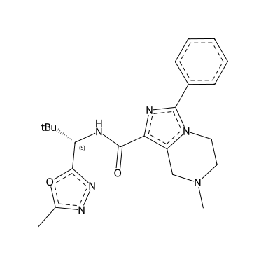 Cc1nnc([C@@H](NC(=O)c2nc(-c3ccccc3)n3c2CN(C)CC3)C(C)(C)C)o1